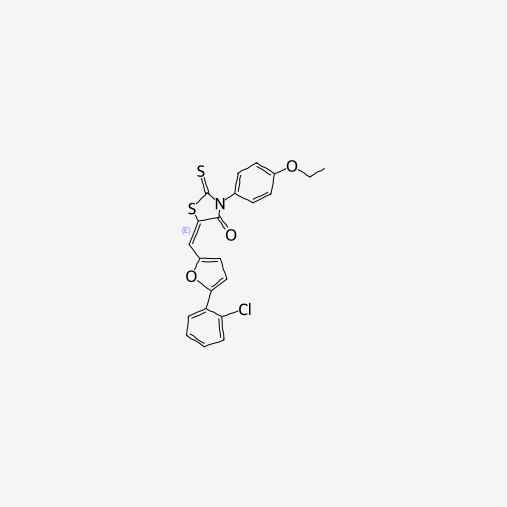 CCOc1ccc(N2C(=O)/C(=C\c3ccc(-c4ccccc4Cl)o3)SC2=S)cc1